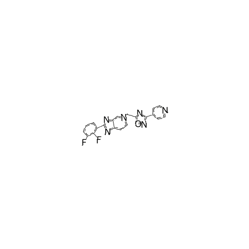 Fc1cccc(-c2nc3ccn(Cc4nc(-c5ccncc5)no4)cc-3n2)c1F